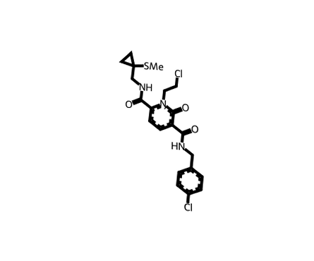 CSC1(CNC(=O)c2ccc(C(=O)NCc3ccc(Cl)cc3)c(=O)n2CCCl)CC1